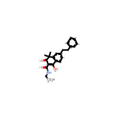 CC1(C)C(=O)C(C(=O)NCC(=O)O)=C(O)c2ccc(CCc3ccccc3)cc21